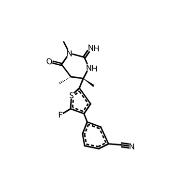 C[C@@H]1C(=O)N(C)C(=N)N[C@]1(C)c1cc(-c2cccc(C#N)c2)c(F)s1